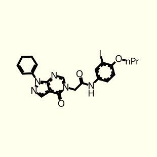 CCCOc1ccc(NC(=O)Cn2cnc3c(cnn3C3=CCCC=C3)c2=O)cc1I